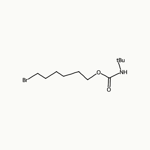 CC(C)(C)NC(=O)OCCCCCCBr